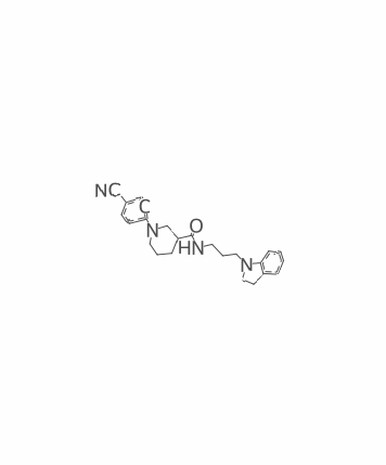 N#Cc1ccc(N2CCCC(C(=O)NCCCN3CCc4ccccc43)C2)cc1